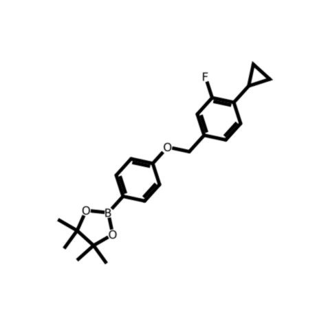 CC1(C)OB(c2ccc(OCc3ccc(C4CC4)c(F)c3)cc2)OC1(C)C